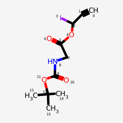 C#CC(I)OC(=O)CNC(=O)OC(C)(C)C